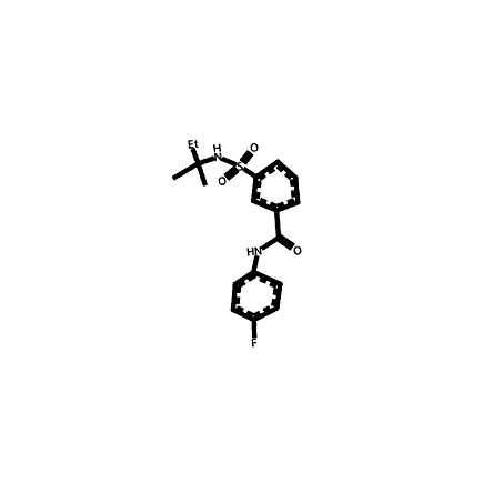 CCC(C)(C)NS(=O)(=O)c1cccc(C(=O)Nc2ccc(F)cc2)c1